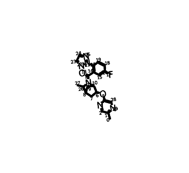 Cc1cnc(OC2CC3CC2N(C(=O)c2cc(F)ccc2-n2nccn2)C3C)cn1